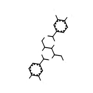 Cc1ccc(C2OC(CO)C3OC(c4ccc(C)c(C)c4)OCC3O2)cc1C